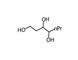 CCCC(O)C(O)CCO